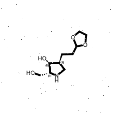 OC[C@H]1NC[C@H](CCC2OCCO2)[C@H]1O